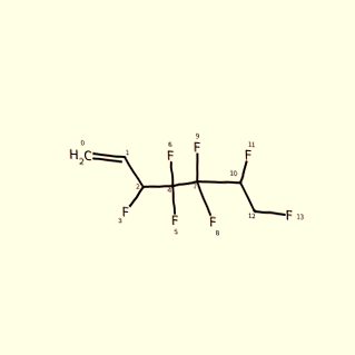 C=CC(F)C(F)(F)C(F)(F)C(F)CF